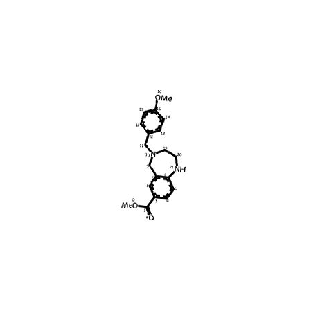 COC(=O)c1ccc2c(c1)CN(Cc1ccc(OC)cc1)CCN2